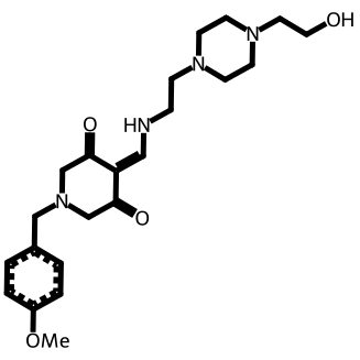 COc1ccc(CN2CC(=O)C(=CNCCN3CCN(CCO)CC3)C(=O)C2)cc1